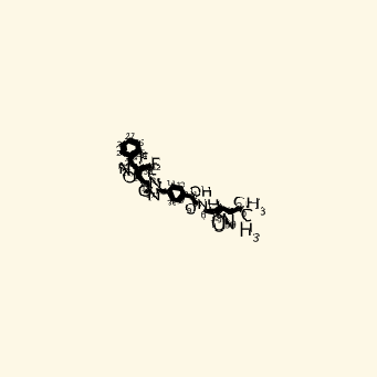 CC(C)c1cc(CNC(=O)C(O)c2ccc(-c3noc(-c4onc(-c5ccccc5)c4C(F)(F)F)n3)cc2)on1